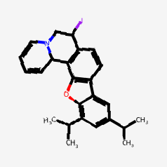 CC(C)c1cc(C(C)C)c2oc3c4c(ccc3c2c1)C(I)CN1C=CC=CC41